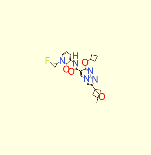 CC12CC(c3cn4cc(C(=O)Nc5cccn(C6CC6F)c5=O)c(OC5CCC5)nc4n3)(CO1)C2